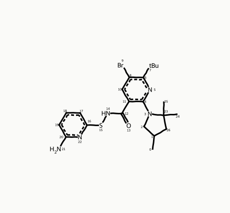 CC1CN(c2nc(C(C)(C)C)c(Br)cc2C(=O)NSc2cccc(N)n2)C(C)(C)C1